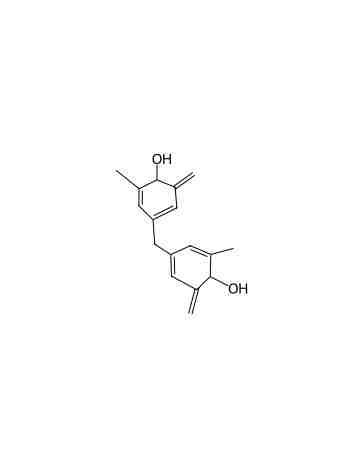 C=C1C=C(CC2=CC(=C)C(O)C(C)=C2)C=C(C)C1O